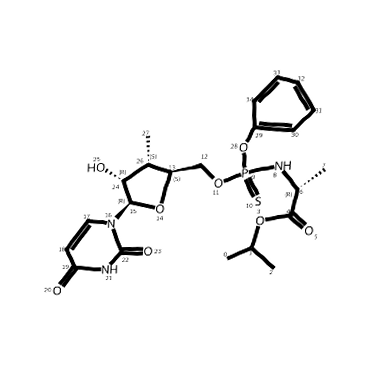 CC(C)OC(=O)[C@@H](C)NP(=S)(OC[C@H]1O[C@@H](n2ccc(=O)[nH]c2=O)[C@H](O)[C@@H]1C)Oc1ccccc1